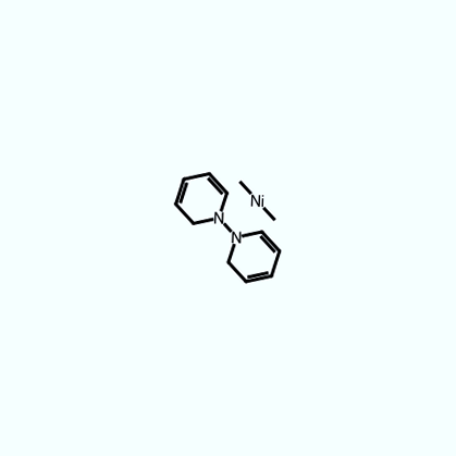 C1=CCN(N2C=CC=CC2)C=C1.[CH3][Ni][CH3]